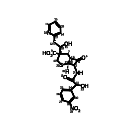 O=C(NC1C(=O)N2CC(C(=O)O)(C(O)Sc3ccccn3)CS[C@H]12)C(O)c1cccc([N+](=O)[O-])c1